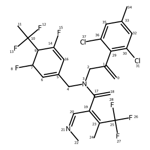 C=C(CN(CC1=CC(F)C(C(C)(F)F)C(F)=C1)C(=C)C(/C=N\C)=C(/C)C(F)(F)F)c1c(Cl)cc(C)cc1Cl